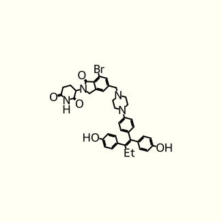 CCC(=C(c1ccc(O)cc1)c1ccc(N2CCN(Cc3cc(Br)c4c(c3)CN(C3CCC(=O)NC3=O)C4=O)CC2)cc1)c1ccc(O)cc1